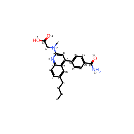 CCCCc1ccc2nc(N(C)CC(=O)O)cc(-c3ccc(C(N)=O)cc3)c2c1